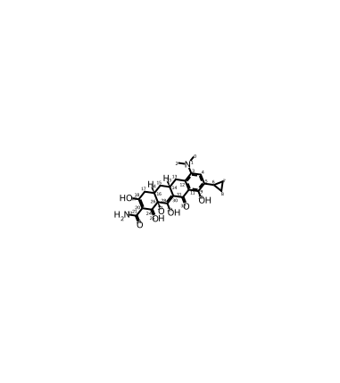 CN(C)c1cc(C2CC2)c(O)c2c1C[C@H]1C[C@H]3CC(O)=C(C(N)=O)C(=O)[C@@]3(O)C(O)=C1C2=O